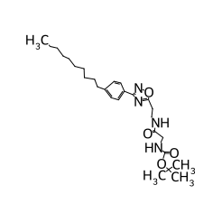 CCCCCCCCCCc1ccc(-c2noc(CCNC(=O)CNC(=O)OC(C)(C)C)n2)cc1